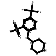 CS(=O)(=O)c1cc(C(F)(F)F)ccc1CC1CCNCC1